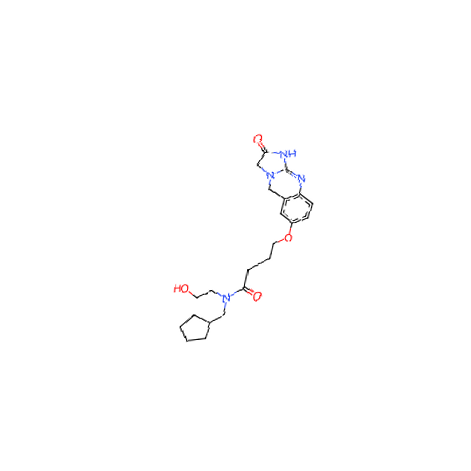 O=C1CN2Cc3cc(OCCCC(=O)N(CCO)CC4CCCC4)ccc3N=C2N1